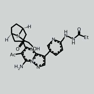 CCC(=O)NNc1ccc(-c2cnn3c(N)c(C(C)=O)c(C4C[C@H]5CC[C@@H](C4)N5C(=O)CO)nc23)cn1